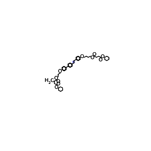 C=C(CC(=O)OC1CCCCC1)C(=O)OCCCOc1ccc(-c2ccc(/C=C/c3ccc(OCCCCOC(=O)CCC(=O)OC4CCCCC4)cc3)cc2)cc1